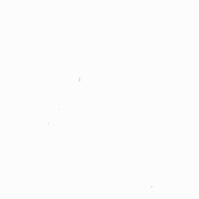 CCOC(=O)c1c(N=Cc2ccc([N+](=O)[O-])s2)sc(NC(=O)Cc2ccccc2)c1C(=O)OCC